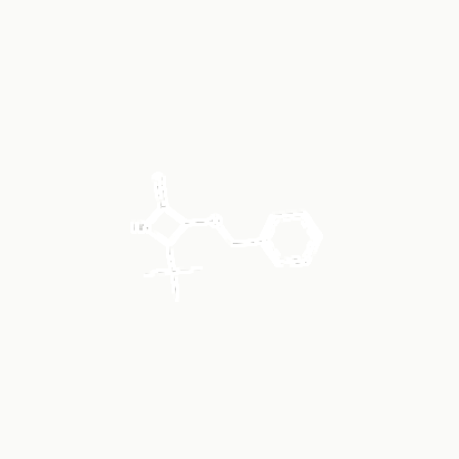 CC(C)(C)C1NC(=O)C1OCc1ccccc1